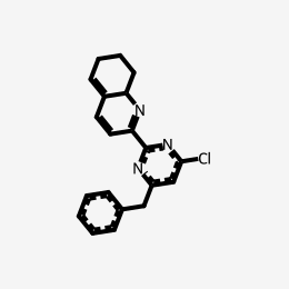 Clc1cc(Cc2ccccc2)nc(C2=NC3CCCC=C3C=C2)n1